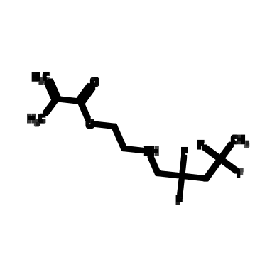 C=C(C)C(=O)OCCNCC(F)(F)CC(C)(F)F